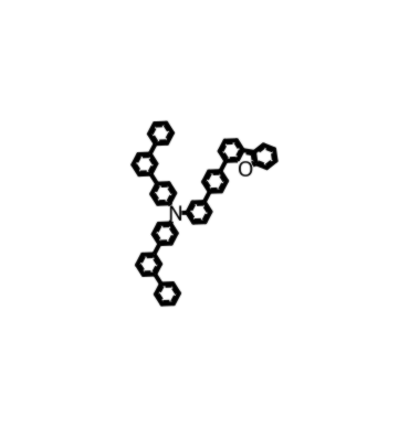 c1ccc(-c2cccc(-c3ccc(N(c4ccc(-c5cccc(-c6ccccc6)c5)cc4)c4cccc(-c5ccc(-c6cccc7c6oc6ccccc67)cc5)c4)cc3)c2)cc1